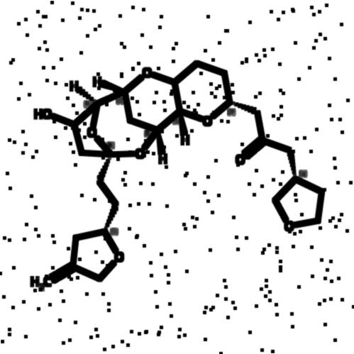 C=C1CO[C@@H](CC[C@]23CC(O)[C@H](O2)[C@H]2C[C@@H](O3)[C@H]3O[C@@H](CC(=O)C[C@@H]4CCOC4)CCC3O2)C1